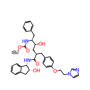 CC(C)(C)OC(=O)N[C@@H](Cc1ccccc1)[C@@H](O)C[C@@H](Cc1ccc(OCCn2ccnc2)cc1)C(=O)N[C@H]1c2ccccc2C[C@H]1O